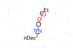 CCCCCCCCCCCc1cnc(-c2ccc(OCc3ccc(CC)o3)cc2)nc1